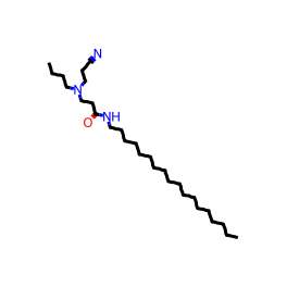 CCCCCCCCCCCCCCCCCCNC(=O)CCN(CCC#N)CCCC